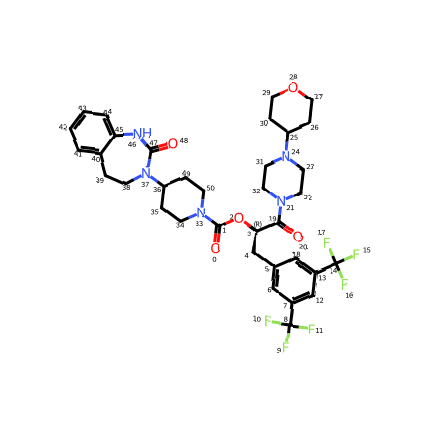 O=C(O[C@H](Cc1cc(C(F)(F)F)cc(C(F)(F)F)c1)C(=O)N1CCN(C2CCOCC2)CC1)N1CCC(N2CCc3ccccc3NC2=O)CC1